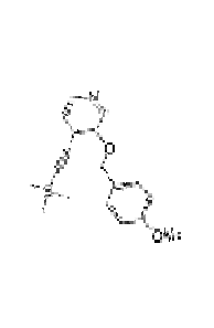 COc1ccc(COc2[c]nccc2C#C[Si](C)(C)C)cc1